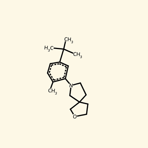 Cc1ccc(C(C)(C)C)cc1N1CCC2(CCOC2)C1